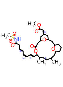 COC(=O)/C=C1\CC2CC(=O)OC(/C=C/C=C\C=C\CC(=O)NS(C)(=O)=O)C(C)/C=C/C(C)CC3CCCC(CC(C1)O2)O3